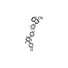 C[C@@H]1CN(c2ccc(C#N)c3ncccc23)C[C@H](CN2CCN(c3ncc(F)c(N4CCNCC4)n3)CC2)O1